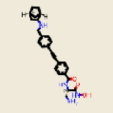 NC[C@H](NC(=O)c1ccc(C#Cc2ccc(CNC3C[C@H]4CC[C@H]3C4)cc2)cc1)C(=O)NO